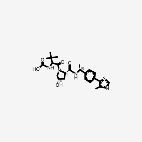 Cc1ncsc1-c1ccc([C@H](C)NC(=O)[C@@H]2C[C@H](O)CN2C(=O)C(NC(=O)O)C(C)(C)C)cc1